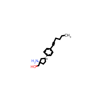 CCCCC#Cc1ccc([C@@H]2CC[C@@](N)(CO)C2)cc1